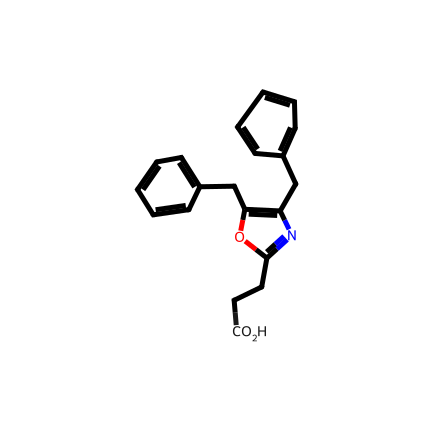 O=C(O)CCc1nc(Cc2ccccc2)c(Cc2ccccc2)o1